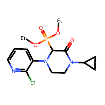 CCOP(=O)(OCC)C1C(=O)N(C2CC2)CCN1c1cccnc1Cl